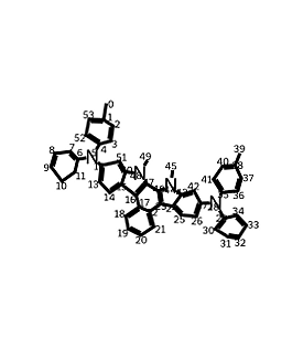 Cc1ccc(N(C2=CC=CCC2)c2ccc3c4c5ccccc5c5c6ccc(N(c7ccccc7)c7ccc(C)cc7)cc6n(C)c5c4n(C)c3c2)cc1